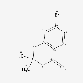 CC1(C)CC(=O)c2ccc(Br)cc2C1